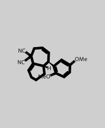 COc1ccc(OC)c([C@@H]2C=CCC(C#N)(C#N)C3=CCCC[C@H]32)c1